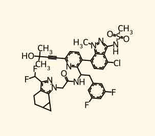 Cn1nc(NS(C)(=O)=O)c2c(Cl)ccc(-c3ccc(C#CC(C)(C)O)nc3C(Cc3cc(F)cc(F)c3)NC(=O)Cn3nc(C(F)F)c4c3C3CC3CC4)c21